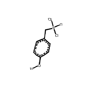 CCOc1ccc(C[Si](Cl)(Cl)Cl)cc1